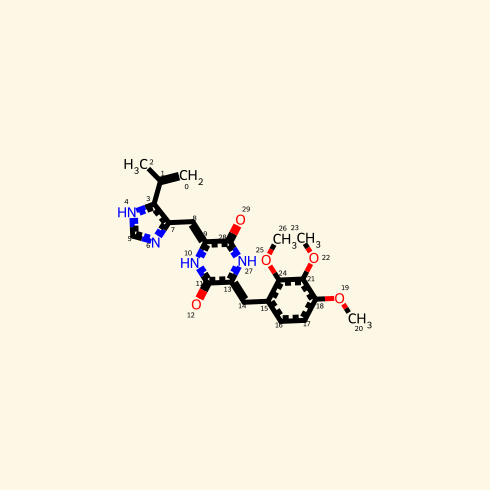 C=C(C)c1[nH]cnc1/C=c1\[nH]c(=O)/c(=C/c2ccc(OC)c(OC)c2OC)[nH]c1=O